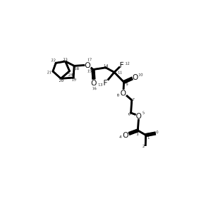 C=C(C)C(=O)OCCOC(=O)C(F)(F)CC(=O)OC1CC2CCC1C2